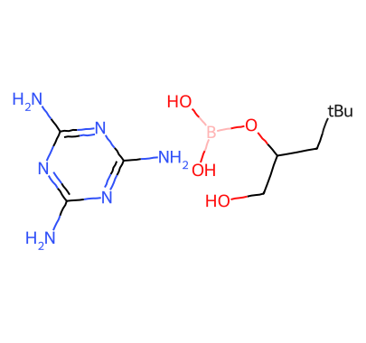 CC(C)(C)CC(CO)OB(O)O.Nc1nc(N)nc(N)n1